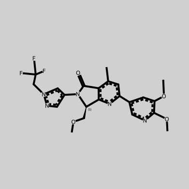 COC[C@@H]1c2nc(-c3cnc(OC)c(OC)c3)cc(C)c2C(=O)N1c1cnn(CC(F)(F)F)c1